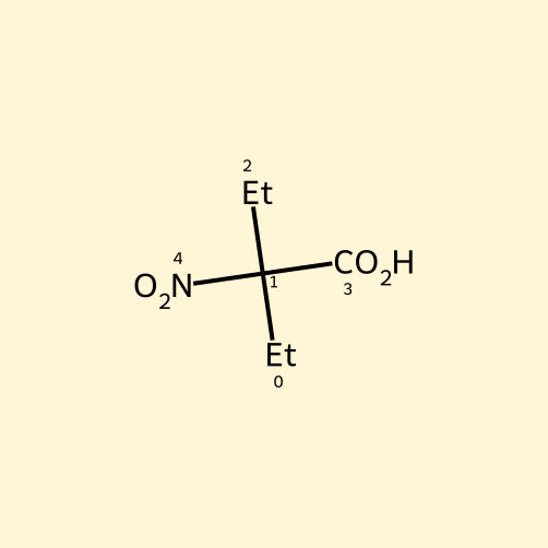 CCC(CC)(C(=O)O)[N+](=O)[O-]